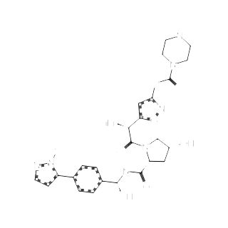 CC(C)[C@H](C(=O)N1C[C@H](O)C[C@H]1C(=O)N[C@@H](C)c1ccc(-c2ccnn2C)cc1)c1cc(OC(=O)N2CCNCC2)no1